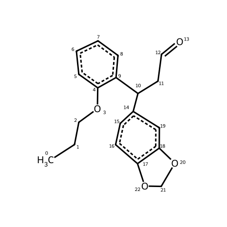 CCCOc1ccccc1C(CC=O)c1ccc2c(c1)OCO2